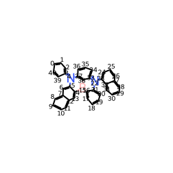 c1ccc(N2c3cc4ccccc4cc3B3c4ccccc4N(c4cccc5ccccc45)c4cccc2c43)cc1